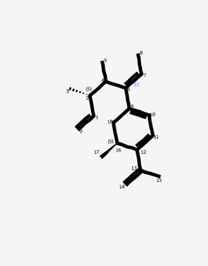 C=C[C@H](C)C(C)/C(=C\C)C1=CC=C(C(=C)C)[C@@H](C)C1